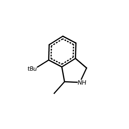 CC1NCc2cccc(C(C)(C)C)c21